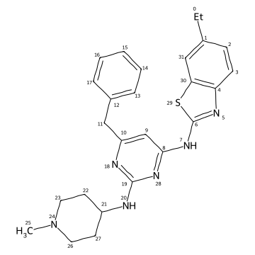 CCc1ccc2nc(Nc3cc(Cc4ccccc4)nc(NC4CCN(C)CC4)n3)sc2c1